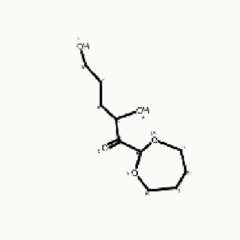 O=C(C(O)CCCO)C1OCCCCO1